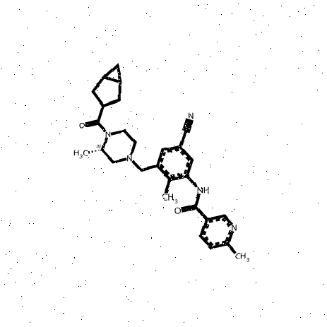 Cc1ccc(C(=O)Nc2cc(C#N)cc(CN3CCN(C(=O)C4CC5CC5C4)[C@@H](C)C3)c2C)cn1